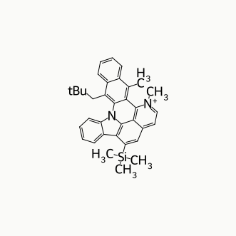 Cc1c2ccccc2c(CC(C)(C)C)c2c1c1c3c(cc[n+]1C)cc([Si](C)(C)C)c1c4ccccc4n2c13